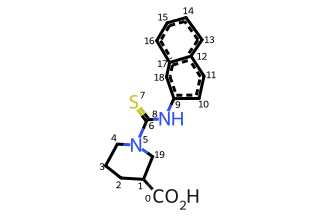 O=C(O)C1CCCN(C(=S)Nc2ccc3ccccc3c2)C1